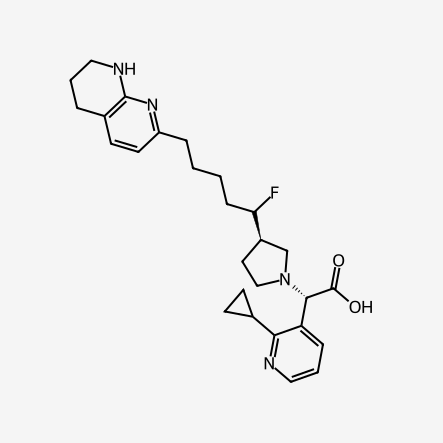 O=C(O)[C@H](c1cccnc1C1CC1)N1CC[C@@H](C(F)CCCCc2ccc3c(n2)NCCC3)C1